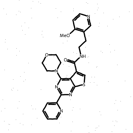 COc1ccncc1CCNC(=O)c1csc2nc(-c3ccccn3)nc(N3CCOCC3)c12